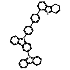 C1=Cc2sc3c(-c4ccc(-c5ccc(-n6c7ccccc7c7cc(-n8c9ccccc9c9ccccc98)ccc76)cc5)cc4)cccc3c2CC1